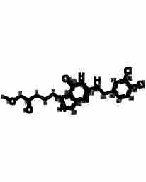 COCC(=O)CCCn1ncc2nc(NCc3ccc(Cl)c(Cl)c3)[nH]c(=O)c21